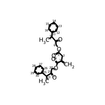 C=C(CC(=O)OCC(=O)C(C)c1ccccc1)C(=O)OCC(=O)C(C)c1ccccc1